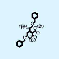 CC(C)(C)OC(=O)C(C(=O)OC(C)(C)C)=C(CCOCc1ccccc1)CCOCc1ccccc1.N.N